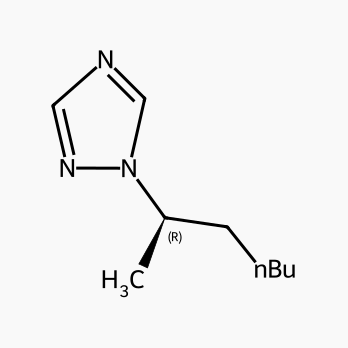 CCCCC[C@@H](C)n1cncn1